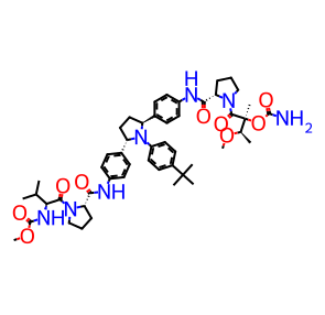 COC(=O)N[C@H](C(=O)N1CCC[C@H]1C(=O)Nc1ccc([C@@H]2CC[C@@H](c3ccc(NC(=O)[C@@H]4CCCN4C(=O)[C@@](C)(OC(N)=O)[C@@H](C)OC)cc3)N2c2ccc(C(C)(C)C)cc2)cc1)C(C)C